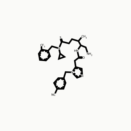 CC(CCC(=S)N(Cc1ccccc1C(F)(F)F)C1CC1)C(CN)NC(=O)Cc1cncn1Cc1ccc(C#N)cc1